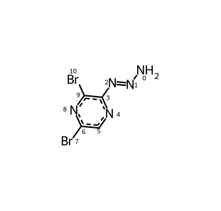 NN=Nc1ncc(Br)nc1Br